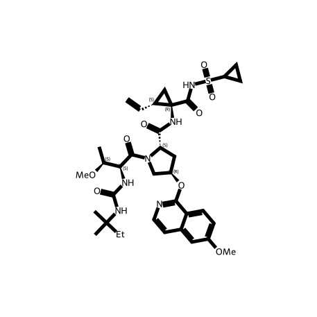 C=C[C@@H]1C[C@]1(NC(=O)[C@@H]1C[C@@H](Oc2nccc3cc(OC)ccc23)CN1C(=O)[C@@H](NC(=O)NC(C)(C)CC)[C@H](C)OC)C(=O)NS(=O)(=O)C1CC1